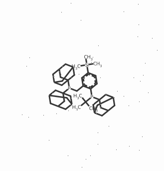 CC(C)(C)P(c1ccc([Si](C)(C)C)cc1CP(C12CC3CC(CC(C3)C1)C2)C12CC3CC(CC(C3)C1)C2)C12CC3CC(CC(C3)C1)C2